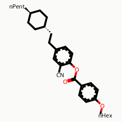 CCCCCCOc1ccc(C(=O)Oc2ccc(CC[C@H]3CC[C@H](CCCCC)CC3)cc2C#N)cc1